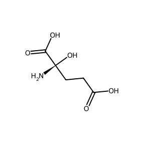 N[C@@](O)(CCC(=O)O)C(=O)O